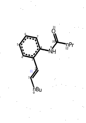 [CH2]CCC/C=C/c1ccccc1NC(=O)CCC